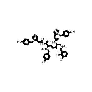 CCC(C)C(NC(=O)Cc1cncn1Cc1ccc(C#N)cc1)C(CCC(C)C(CN(Cc1cccc(Cl)c1Cl)C(C)=O)NC(=O)Cc1cncn1Cc1ccc(C#N)cc1)N(Cc1ccc(Cl)cc1)C(C)=O